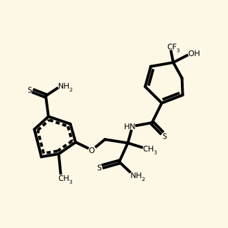 Cc1ccc(C(N)=S)cc1OCC(C)(NC(=S)C1=CCC(O)(C(F)(F)F)C=C1)C(N)=S